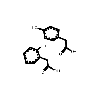 O=C(O)Cc1ccc(O)cc1.O=C(O)Cc1ccccc1O